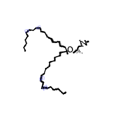 CCCCC/C=C\C/C=C\CCCCCCCCC(C)(CCCCCCCC/C=C\C/C=C\CCCCC)OC[C@@H](C)CCN(C)C